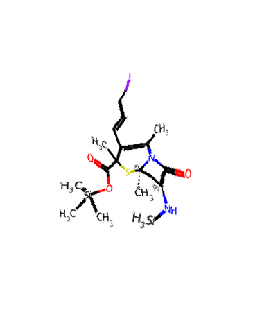 CC1=C(C=CCI)C(C)(C(=O)O[Si](C)(C)C)S[C@]2(C)[C@H](N[SiH3])C(=O)N12